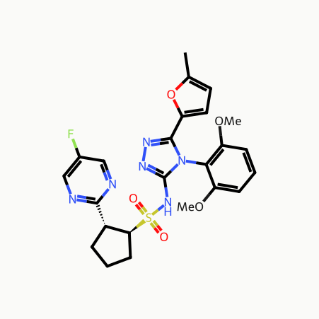 COc1cccc(OC)c1-n1c(NS(=O)(=O)[C@H]2CCC[C@@H]2c2ncc(F)cn2)nnc1-c1ccc(C)o1